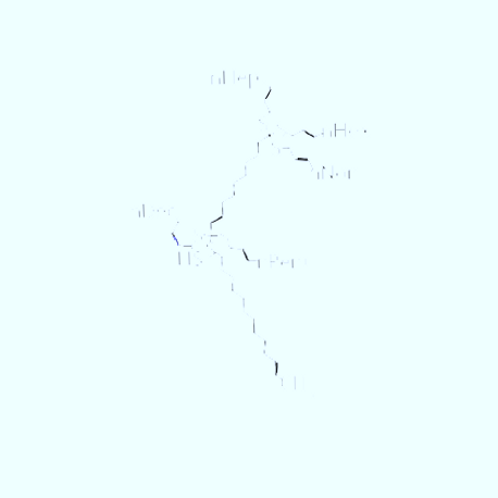 CC=CCCCCCCCCCCSC(C=CCCCCCCCC(SCC=CCCCCCC)(SCC=CCCCCCCC)SCC=CCCCCCCCCC)(SCC=CCCCCC)SC(S)/C=C\CCCCCCCCCCC